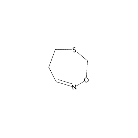 C1=NOCSCC1